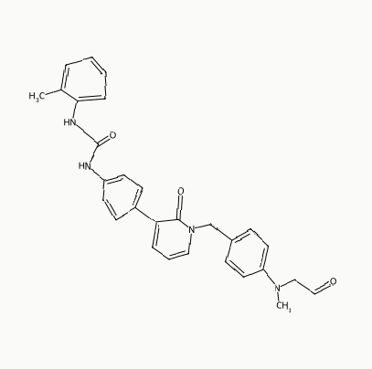 Cc1ccccc1NC(=O)Nc1ccc(-c2cccn(Cc3ccc(N(C)CC=O)cc3)c2=O)cc1